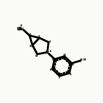 CC(C)(C)C1C2CN(c3cccc(F)c3)CC21